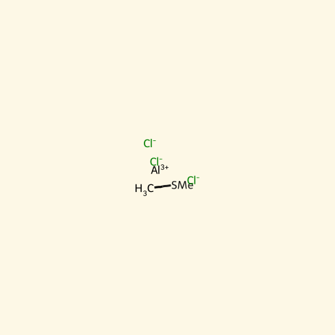 CSC.[Al+3].[Cl-].[Cl-].[Cl-]